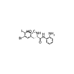 Nc1ccccc1NC(=O)[C@H](Cc1ccc(I)c(Br)c1)NC(=O)O